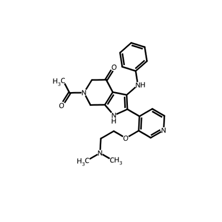 CC(=O)N1CC(=O)c2c([nH]c(-c3ccncc3OCCN(C)C)c2Nc2ccccc2)C1